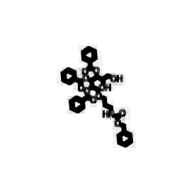 CC(CO)C(OC(=O)c1ccccc1)C(OC(=O)c1ccccc1)C(OC(=O)c1ccccc1)C(O)OCCCNC(=O)OCc1ccccc1